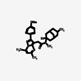 CCC1(N(C)C(=O)Cc2c(-c3ccc(OC)cc3)nn3c(C)cc(C)nc23)CC2CC(C)CC(C2)C1